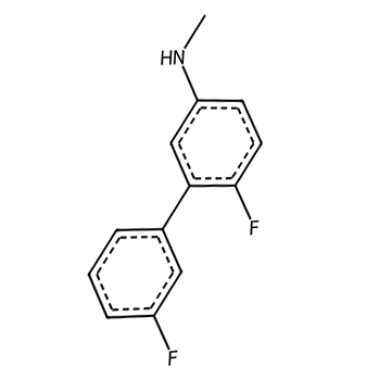 CNc1ccc(F)c(-c2cccc(F)c2)c1